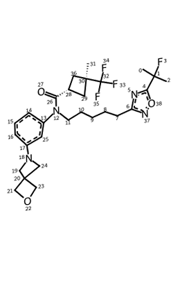 CC(C)(F)c1nc(CCCCCN(c2cccc(N3CC4(COC4)C3)c2)C(=O)[C@H]2C[C@](C)(C(F)(F)F)C2)no1